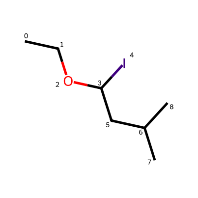 CCOC(I)CC(C)C